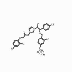 Cl.O.O.O=C(COc1ccc(Cl)cc1Cl)CN1C=CN(C(Cl)C(OCc2ccc(Cl)cc2Cl)c2ccc(Cl)cc2)C1